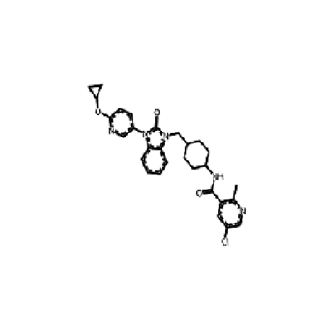 Cc1ncc(Cl)cc1C(=O)NC1CCC(Cn2c(=O)n(-c3ccc(OC4CC4)nc3)c3ccccc32)CC1